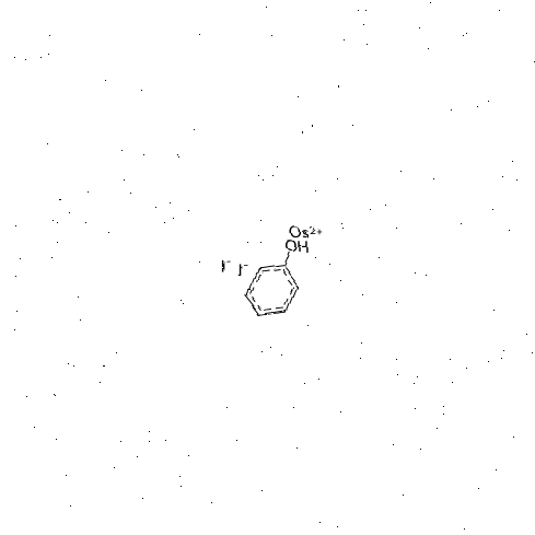 Oc1ccccc1.[I-].[I-].[Os+2]